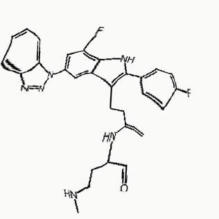 C=C(CCc1c(-c2ccc(F)cc2)[nH]c2c(F)cc(-n3nnc4ccccc43)cc12)NC(C=O)CCNC